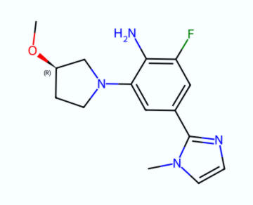 CO[C@@H]1CCN(c2cc(-c3nccn3C)cc(F)c2N)C1